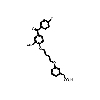 CCCc1cc(C(=O)c2ccc(F)cc2)ccc1OCCCCOc1cccc(CC(=O)O)c1